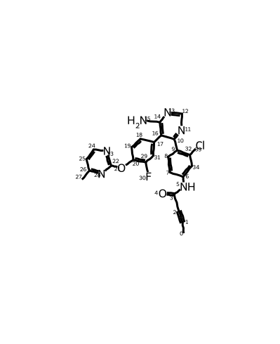 CC#CC(=O)Nc1ccc(-c2ncnc(N)c2-c2ccc(Oc3nccc(C)n3)c(F)c2)c(Cl)c1